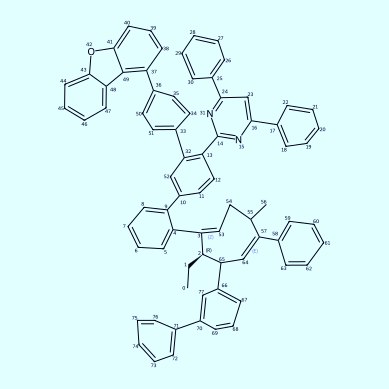 CC[C@H]1/C(c2ccccc2-c2ccc(-c3nc(-c4ccccc4)cc(-c4ccccc4)n3)c(-c3ccc(-c4cccc5oc6ccccc6c45)cc3)c2)=C/CC(C)/C(c2ccccc2)=C\C1c1cccc(-c2ccccc2)c1